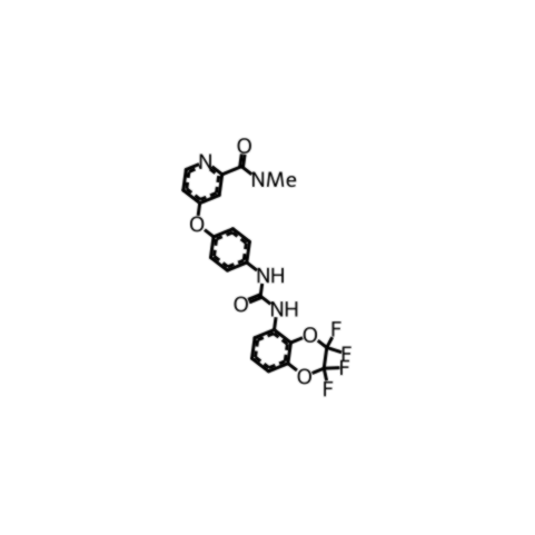 CNC(=O)c1cc(Oc2ccc(NC(=O)Nc3cccc4c3OC(F)(F)C(F)(F)O4)cc2)ccn1